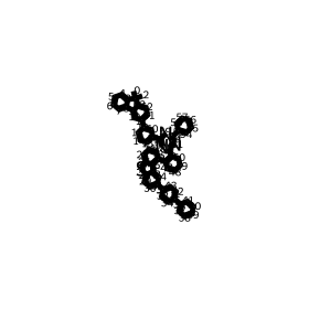 CC1(C)c2ccccc2-c2cc(-c3cccc(-c4nc(C5=C(c6cccc7sc8ccc(-c9ccc(-c%10ccccc%10)cc9)cc8c67)C=CCC5)nc(-c5ccccc5)n4)c3)ccc21